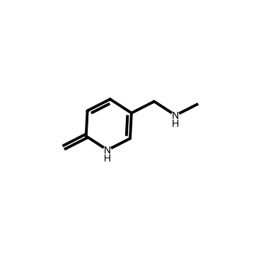 C=C1C=CC(CNC)=CN1